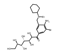 CCN(Cc1cc(C(=O)C(O)[C@@H](O)[C@@H](O)[C@H](O)[C@H](O)CO)cc(Br)c1N)C1CCCCC1